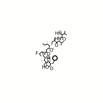 CC[C@H](C)[C@H](CCC(C)C(=O)[C@@H](NC(=O)[C@@H](NC)C(C)C)C(C)C)C(CC(=O)N1C[C@@H](F)C[C@H]1[C@H](OC)[C@@H](C)C(=O)N[C@@H](Cc1ccccc1)C(=O)O)OC